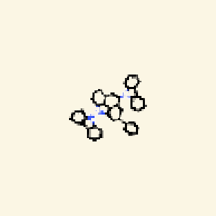 C1=C2C(n3c4ccccc4c4ccccc43)=CC3CCC=c4c3c2c(n4-n2c3ccccc3c3ccccc32)=CC1c1ccccc1